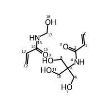 C=CC(=O)NC(CO)(CO)CO.C=CC(=O)NCO